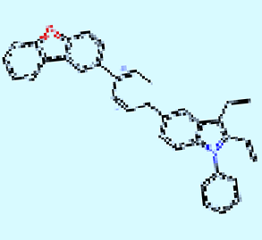 C=Cc1c(C=C)n(-c2ccccc2)c2ccc(C/C=C\C(=C/C)c3ccc4oc5ccccc5c4c3)cc12